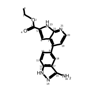 CCOC(=O)c1cc2c(-c3ccc4[nH]nc(N)c4c3)ccnc2[nH]1